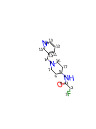 O=C(CF)NC1CCN(Cc2cccnc2)CC1